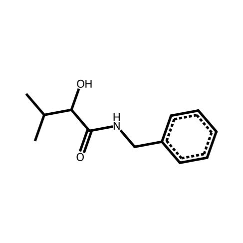 CC(C)C(O)C(=O)NCc1ccccc1